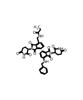 CCC(=O)NCc1cccc2c1C(=O)N(C1CCC(=O)NC1=O)C2=O.O=C1CCC(N2C(=O)c3cccc(NCc4ccccc4)c3C2=O)C(=O)N1